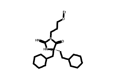 CCOCCCN1C(=N)N[C@](CCC2CCCCC2)(CC2CCCCC2)C1=O